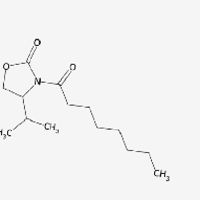 CCCCCCCC(=O)N1C(=O)OCC1C(C)C